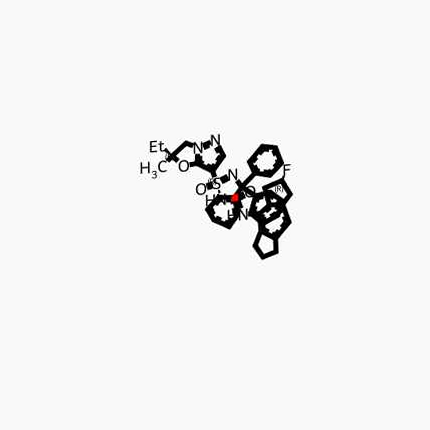 CC[C@@]1(C)Cn2ncc([S@](=O)(=NC(c3ccccc3)(c3ccccc3)c3ccccc3)NC(=O)Nc3c4c(cc5c3C[C@H](F)C5)CCC4)c2O1